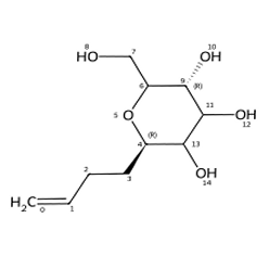 C=CCC[C@H]1OC(CO)[C@H](O)C(O)C1O